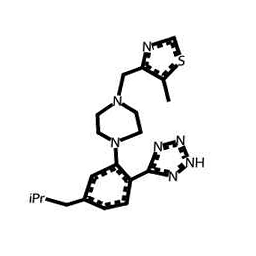 Cc1scnc1CN1CCN(c2cc(CC(C)C)ccc2-c2nn[nH]n2)CC1